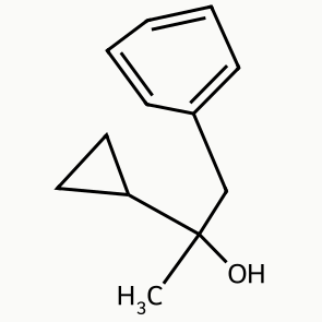 CC(O)(Cc1ccccc1)C1CC1